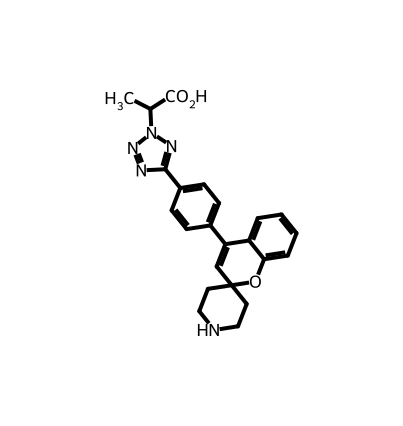 CC(C(=O)O)n1nnc(-c2ccc(C3=CC4(CCNCC4)Oc4ccccc43)cc2)n1